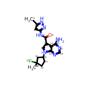 Cc1cc(NC(=O)c2cn(C3CCC(C)(F)C3)c3ncnc(N)c23)n[nH]1